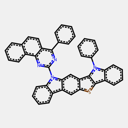 c1ccc(-c2nc(-n3c4ccccc4c4cc5sc6c7ccccc7n(-c7ccccc7)c6c5cc43)nc3c2ccc2ccccc23)cc1